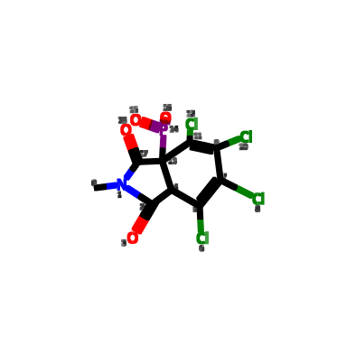 CN1C(=O)C2C(Cl)=C(Cl)C(Cl)=C(Cl)C2(P(=O)=O)C1=O